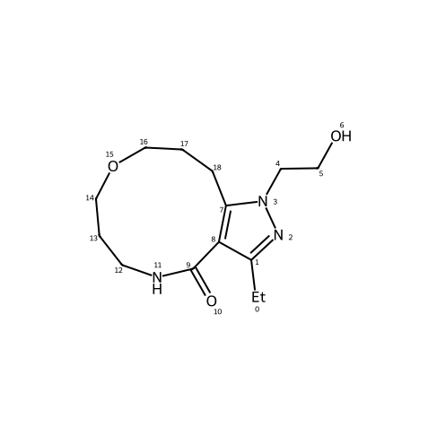 CCc1nn(CCO)c2c1C(=O)NCCCOCCC2